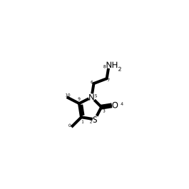 Cc1sc(=O)n(CCN)c1C